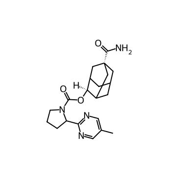 Cc1cnc(C2CCCN2C(=O)O[C@H]2C3CC4CC2C[C@](C(N)=O)(C4)C3)nc1